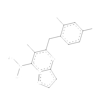 CCCN(CCC)c1c(C)c(Cc2ccc(Cl)cc2Cl)nc2ccnn12